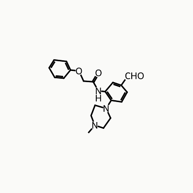 CN1CCN(c2ccc(C=O)cc2NC(=O)COc2ccccc2)CC1